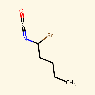 CCCCC(Br)N=C=O